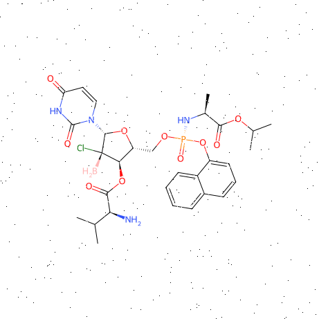 B[C@]1(Cl)[C@H](OC(=O)[C@@H](N)C(C)C)[C@@H](CO[P@@](=O)(N[C@@H](C)C(=O)OC(C)C)Oc2cccc3ccccc23)O[C@H]1n1ccc(=O)[nH]c1=O